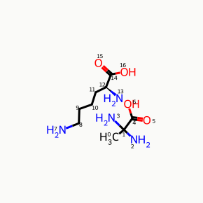 CC(N)(N)C(=O)O.NCCCC[C@H](N)C(=O)O